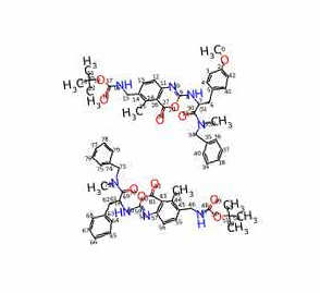 COc1ccc(C[C@H](Nc2nc3ccc(CNC(=O)OC(C)(C)C)c(C)c3c(=O)o2)C(=O)N(C)Cc2ccccc2)cc1.Cc1c(CNC(=O)OC(C)(C)C)ccc2nc(N[C@@H](Cc3ccccc3)C(=O)N(C)Cc3ccccc3)oc(=O)c12